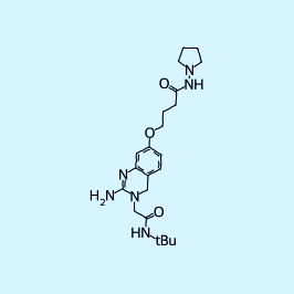 CC(C)(C)NC(=O)CN1Cc2ccc(OCCCC(=O)NN3CCCC3)cc2N=C1N